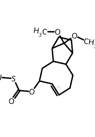 COC1(OC)C2CCC1C1CC(OC(=O)SI)/C=C/CCC12